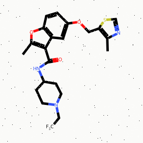 Cc1ncsc1COc1ccc2oc(C)c(C(=O)NC3CCN(CC(F)(F)F)CC3)c2c1